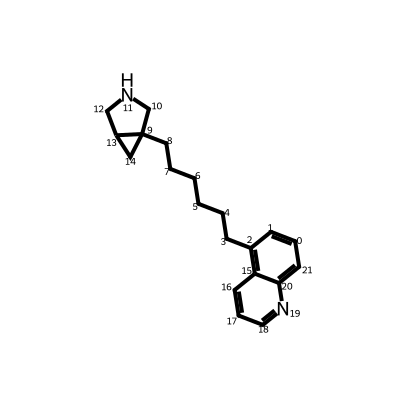 c1cc(CCCCCCC23CNCC2C3)c2cccnc2c1